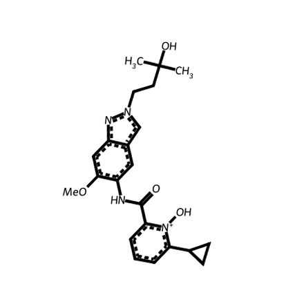 COc1cc2nn(CCC(C)(C)O)cc2cc1NC(=O)c1cccc(C2CC2)[n+]1O